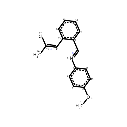 COc1ccc(/N=C/c2ccccc2/C=C(/C)Cl)cc1